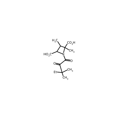 CCC(C)(C)C(=O)C(=O)N1C(C(=O)O)C(C)C1(C)C(=O)O